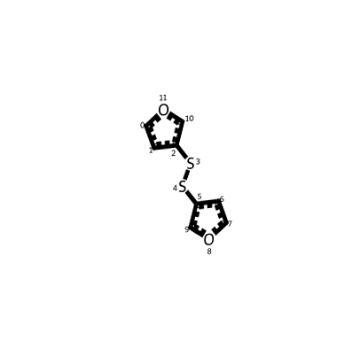 c1cc(SSc2ccoc2)co1